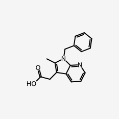 Cc1c(CC(=O)O)c2cccnc2n1Cc1ccccc1